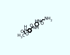 CC1Oc2ccc(C(=O)NC3CCC(NC(=O)CCN)CC3)cc2NC1=O